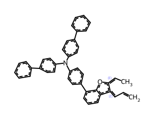 C=C/C=c1\c(=C/C)oc2c(-c3ccc(N(c4ccc(-c5ccccc5)cc4)c4ccc(-c5ccccc5)cc4)cc3)cccc12